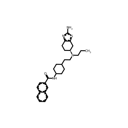 CCCN(CCC1CCC(NC(=O)c2ccc3ccccc3c2)CC1)[C@H]1CCc2nc(N)sc2C1